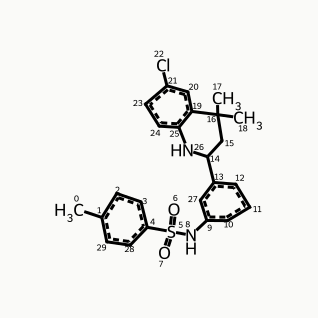 Cc1ccc(S(=O)(=O)Nc2cccc(C3CC(C)(C)c4cc(Cl)ccc4N3)c2)cc1